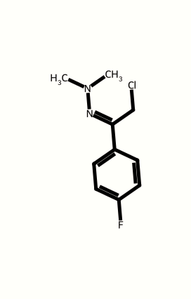 CN(C)N=C(CCl)c1ccc(F)cc1